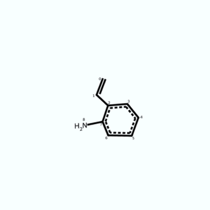 C=Cc1ccccc1N